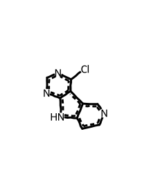 Clc1ncnc2[nH]c3ccncc3c12